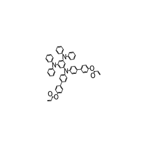 C=CC(=O)Oc1ccc(-c2ccc(N(c3ccc(-c4ccc(OC(=O)C=C)cc4)cc3)c3cc(N(c4ccccc4)c4ccccc4)cc(N(c4ccccc4)c4ccccc4)c3)cc2)cc1